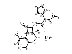 CO/N=C(/C(=O)N[C@@H]1C(=O)N2C(C(=O)O)=C(CO)CS[C@H]12)c1ccco1.[NaH]